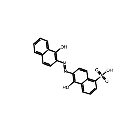 O=S(=O)(O)c1cccc2c(O)c(N=Nc3ccc4ccccc4c3O)ccc12